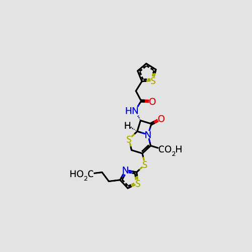 O=C(O)CCc1csc(SC2=C(C(=O)O)N3C(=O)[C@@H](NC(=O)Cc4cccs4)[C@@H]3SC2)n1